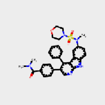 CN(C)C(=O)c1ccc(-c2cnc3[nH]c4ccc(N(C)S(=O)(=O)N5CCOCC5)cc4c3c2-c2ccccc2)cc1